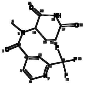 CN(C(=O)c1ccnc(C(F)(F)F)c1)C1CCC(=O)NC1=O